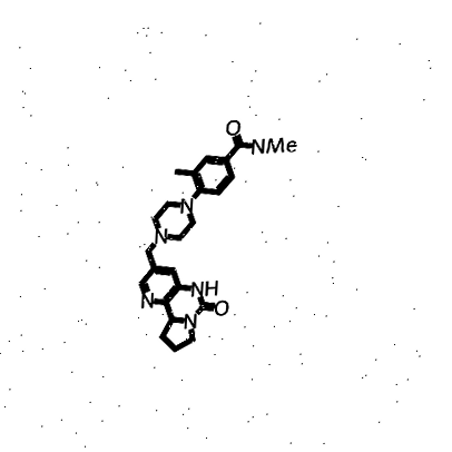 CNC(=O)c1ccc(N2CCN(Cc3cnc4c(c3)NC(=O)N3CCCC43)CC2)c(C)c1